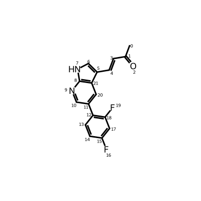 CC(=O)/C=C/c1c[nH]c2ncc(-c3ccc(F)cc3F)cc12